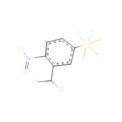 O=[N+]([O-])c1ccc(S(F)(F)(F)(F)F)cc1C(Cl)Cl